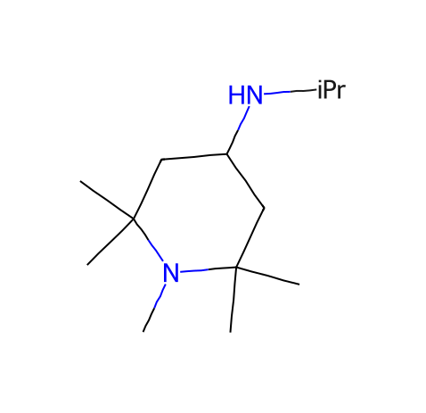 CC(C)NC1CC(C)(C)N(C)C(C)(C)C1